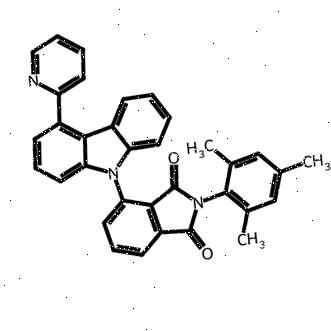 Cc1cc(C)c(N2C(=O)c3cccc(-n4c5ccccc5c5c(-c6ccccn6)cccc54)c3C2=O)c(C)c1